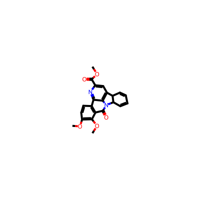 COC(=O)c1cc2c3c(n1)c1ccc(OC)c(OC)c1c(=O)n3C1C=CC=CC21